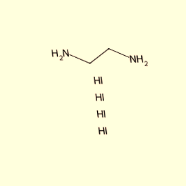 I.I.I.I.NCCN